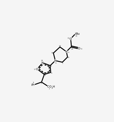 CC(C)C(C(=O)O)c1cc(N2CCN(C(=O)OC(C)(C)C)CC2)no1